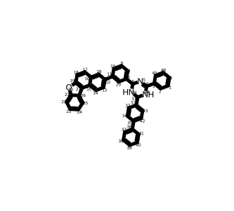 c1ccc(C2=NC(c3cccc(-c4ccc5c(ccc6oc7ccccc7c65)c4)c3)NC(c3ccc(-c4ccccc4)cc3)N2)cc1